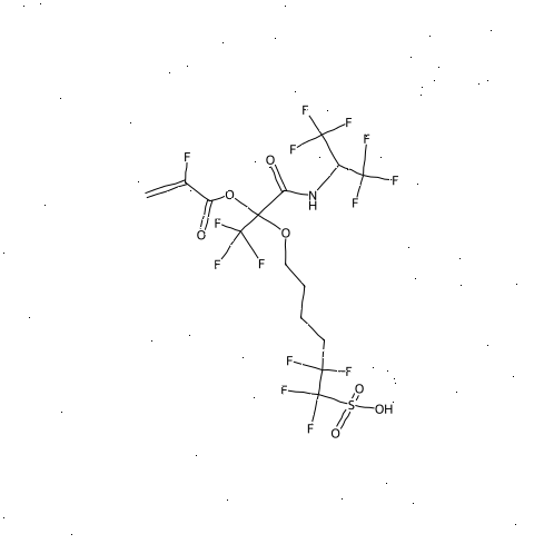 C=C(F)C(=O)OC(OCCCCC(F)(F)C(F)(F)S(=O)(=O)O)(C(=O)NC(C(F)(F)F)C(F)(F)F)C(F)(F)F